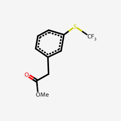 COC(=O)Cc1cccc(SC(F)(F)F)c1